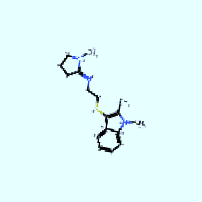 Cc1c(SCC/N=C2\CCCN2C)c2ccccc2n1C